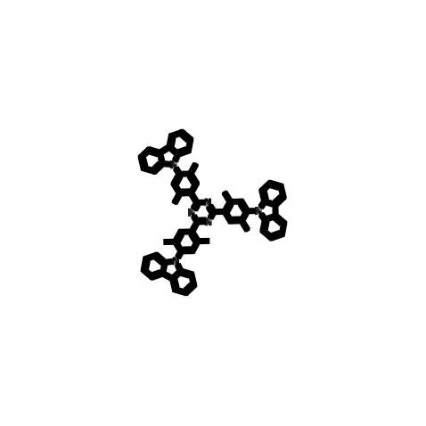 Cc1cc(-n2c3ccccc3c3ccccc32)c(C)cc1-c1nc(-c2cc(C)c(-n3c4ccccc4c4ccccc43)cc2C)nc(-c2cc(C)c(-n3c4ccccc4c4ccccc43)cc2C)n1